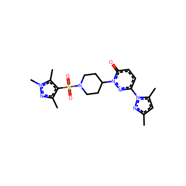 Cc1cc(C)n(-c2ccc(=O)n(C3CCN(S(=O)(=O)c4c(C)nn(C)c4C)CC3)n2)n1